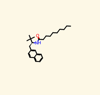 CCCCCCCCCC(=O)N[C@@H](Cc1ccc2ccccc2c1)C(C)(C)C